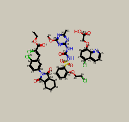 CCOC(=O)/C(Cl)=C/c1cc(N2C(=O)C3=C(CCCC3)C2=O)ccc1Cl.COc1nc(C)nc(NC(=O)NS(=O)(=O)c2ccccc2OCCCl)n1.O=C(O)COc1ccc(Cl)c2cccnc12